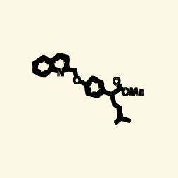 COC(=O)C(CC=C(C)C)c1ccc(OCc2ccc3ccccc3n2)cc1